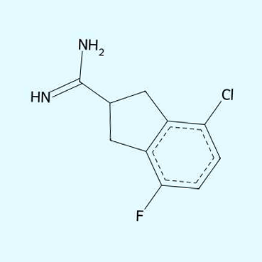 N=C(N)C1Cc2c(F)ccc(Cl)c2C1